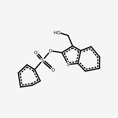 O=S(=O)(Oc1sc2ccccc2c1CO)c1ccccc1